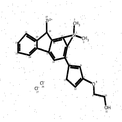 C[Si]1(C)c2c(C3=CC(OCCO)=CC3)cc3c(c21)[CH]([Zr+2])c1ccccc1-3.[Cl-].[Cl-]